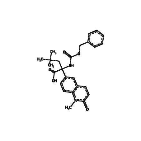 Cn1c(=O)ccc2cc(C(CC(C)(C)C)(NC(=O)OCc3ccccc3)C(=O)O)ccc21